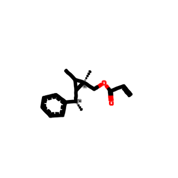 C=CC(=O)OC[C@]1(C)C(C)C1[C@H](C)c1ccccc1